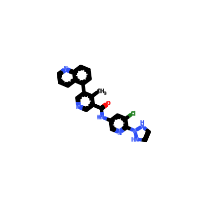 Cc1c(C(=O)Nc2cnc(N3NC=CN3)c(Cl)c2)cncc1-c1cccc2ncccc12